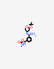 CCC(CC(=O)OC(C)(C)C)=N[C@H](N)c1cccc(-c2nn(C)c(=O)o2)c1